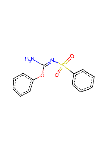 NC(=NS(=O)(=O)c1ccccc1)Oc1ccccc1